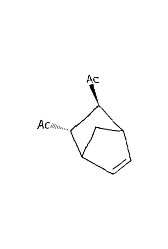 CC(=O)[C@H]1C2C=CC(C2)[C@@H]1C(C)=O